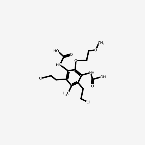 COCCOc1c(NC(=O)O)c(CCCl)c(C)c(CCCl)c1NC(=O)O